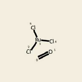 C=O.[Cl][Ru]([Cl])[Cl]